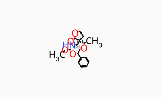 COC(=O)N[C@@H](CCc1ccccc1)[C@]1(C(C)=O)CCOC1=O